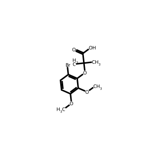 COc1ccc(Br)c(OC(C)(C)C(=O)O)c1OC